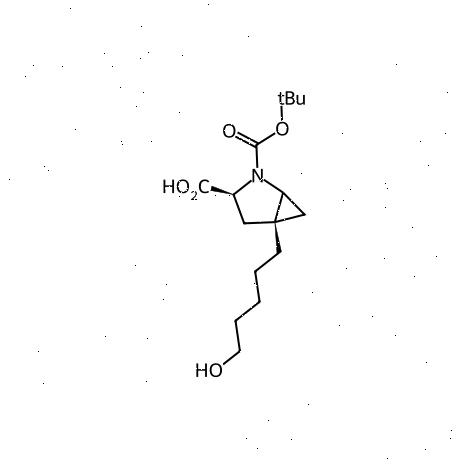 CC(C)(C)OC(=O)N1C2C[C@]2(CCCCCO)C[C@H]1C(=O)O